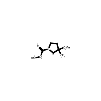 COC1(C(F)(F)F)CCN(C(=O)OC(C)(C)C)C1